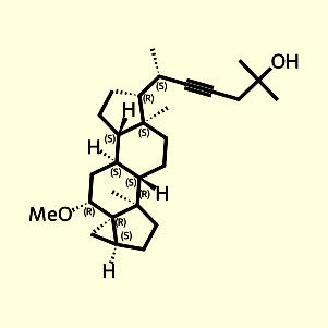 CO[C@@H]1C[C@H]2[C@@H]3CC[C@H]([C@H](C)C#CCC(C)(C)O)[C@@]3(C)CC[C@@H]2[C@@]2(C)CC[C@H]3C[C@]312